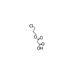 O=C(O)CC(=O)OCCCCl